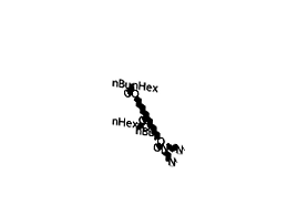 CCCCCCC(CCCC)C(=O)OCCCCCCC(CCCCCCOC(=O)N(CCCN(C)C)CCCN(C)C)OC(=O)C(CCCC)CCCCCC